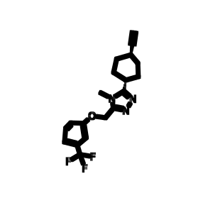 C#C[C@H]1CC[C@H](c2nnc(COc3cccc(C(F)(F)F)c3)n2C)CC1